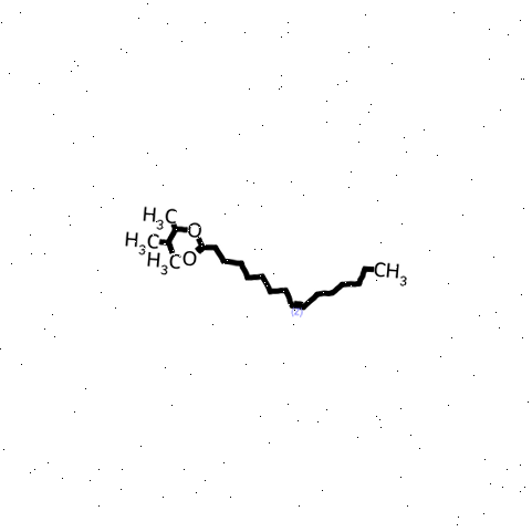 CCCCCC/C=C\CCCCCCCC(=O)OC(C)C(C)C